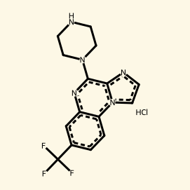 Cl.FC(F)(F)c1ccc2c(c1)nc(N1CCNCC1)c1nccn12